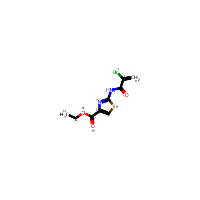 C=C(Br)C(=O)Nc1nc(C(=O)OCC)cs1